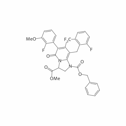 COC(=O)C1CN(C(=O)OCc2ccccc2)c2c(Cc3c(F)cccc3C(F)(F)F)c(C)c(-c3cccc(OC)c3F)c(=O)n21